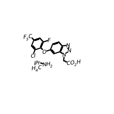 C.CC(C)N.O=C(O)Cn1nnc2ccc(Oc3c(F)cc(C(F)(F)F)cc3Cl)cc21